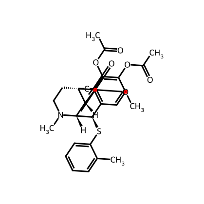 COC1=C[C@@H]2[C@@H]3[C@H](Sc4ccccc4C)c4ccc(OC(C)=O)c(OC(C)=O)c4[C@]2(CCN3C)CC1=O